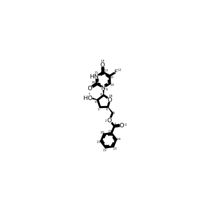 O=C(OC[C@H]1C[C@@H](O)[C@@H](n2cc(F)c(=O)[nH]c2=O)O1)c1ccccc1